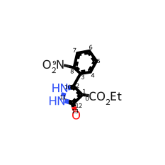 CCOC(=O)c1c(-c2ccccc2[N+](=O)[O-])[nH][nH]c1=O